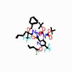 C=CCCC(OCc1ccccc1)(c1nnc(-c2nc(O[C@H](C)CC=C)c(C(F)(F)F)cc2N(C(=O)OC(C)(C)C)C(=O)OC(C)(C)C)o1)C(F)(F)F